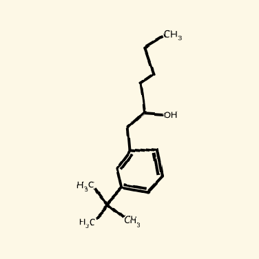 CCCCC(O)Cc1cccc(C(C)(C)C)c1